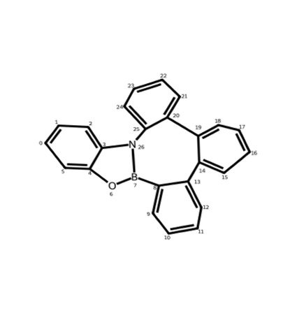 c1ccc2c(c1)OB1c3ccccc3-c3ccccc3-c3ccccc3N12